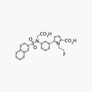 O=C(O)CN(c1cccc(-c2ccc(C(=O)O)n2CCF)c1)S(=O)(=O)c1ccc2ccccc2c1